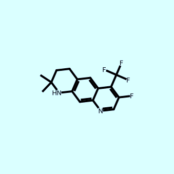 CC1(C)CCc2cc3c(C(F)(F)F)c(F)cnc3cc2N1